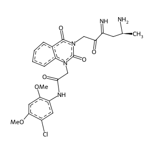 COc1cc(OC)c(NC(=O)Cn2c(=O)n(CC(=O)C(=N)C[C@H](C)N)c(=O)c3ccccc32)cc1Cl